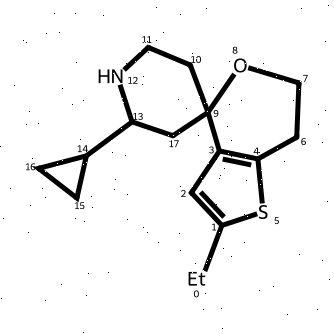 CCc1cc2c(s1)CCOC21CCNC(C2CC2)C1